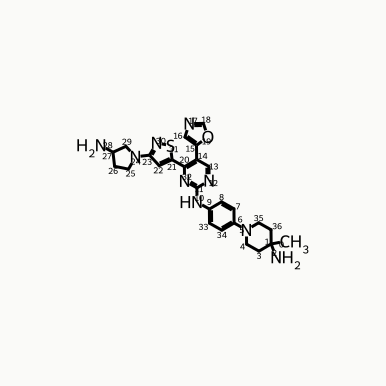 CC1(N)CCN(c2ccc(Nc3ncc(-c4cnco4)c(-c4cc(N5CCC(N)C5)ns4)n3)cc2)CC1